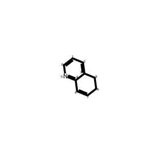 [c]1ccc2c(n1)C=CCC2